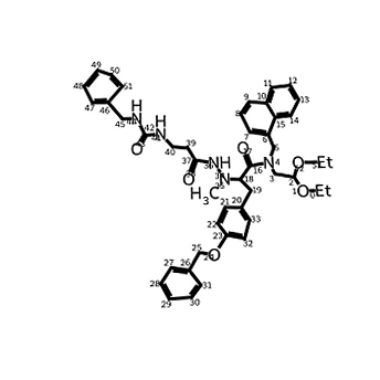 CCOC(CN(Cc1cccc2ccccc12)C(=O)C(Cc1ccc(OCc2ccccc2)cc1)N(C)NC(=O)CCNC(=O)NCc1ccccc1)OCC